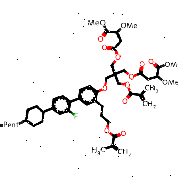 C=C(C)C(=O)OCCCc1cc(-c2ccc(C3CCC(CCCCC)CC3)cc2F)ccc1OCC(COC(=O)CC(OC)C(=O)OC)(COC(=O)CC(OC)C(=O)OC)COC(=O)C(=C)C